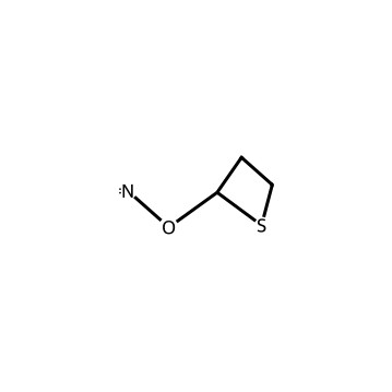 [N]OC1CCS1